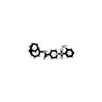 N#Cc1ccccc1S(=O)(=O)N1CCC(C(=O)NC2CCC3CC4CC3CC2C4)CC1